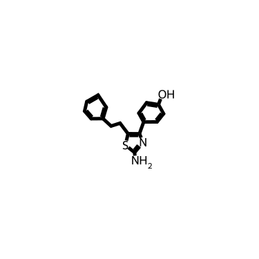 Nc1nc(-c2ccc(O)cc2)c(CCc2ccccc2)s1